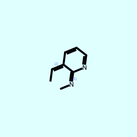 C/C=C1/C=CC=N/C1=N/C